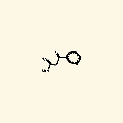 C=C(NC)OC(=O)c1ccccc1